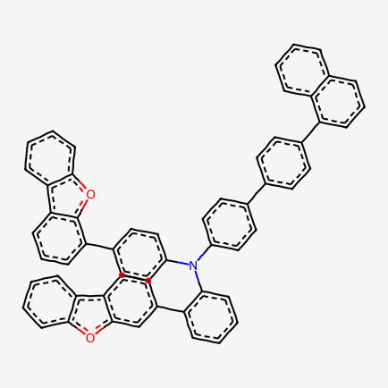 c1ccc(N(c2ccc(-c3ccc(-c4cccc5ccccc45)cc3)cc2)c2ccc(-c3cccc4c3oc3ccccc34)cc2)c(-c2ccc3c(c2)oc2ccccc23)c1